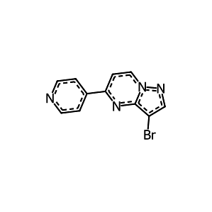 Brc1cnn2ccc(-c3ccncc3)nc12